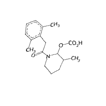 Cc1cccc(C)c1CC(=O)N1CCCC(C)C1OC(=O)O